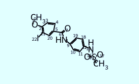 COc1ccc(C(=O)Nc2ccc(NS(C)(=O)=O)cc2)cc1I